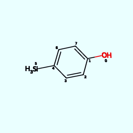 Oc1ccc([SiH3])cc1